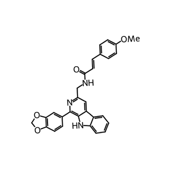 COc1ccc(/C=C/C(=O)NCc2cc3c([nH]c4ccccc43)c(-c3ccc4c(c3)OCO4)n2)cc1